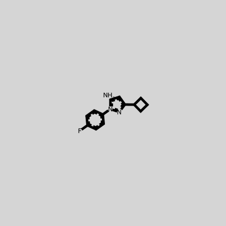 Fc1ccc(-n2ccc(C3CCC3)n2)cc1.N